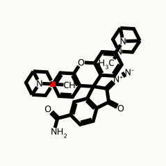 CN1CC2CC(C1)N2c1ccc2c(c1)Oc1cc(N3C4CC3CN(C)C4)ccc1C21C(=[N+]=[N-])C(=O)c2ccc(C(N)=O)cc21